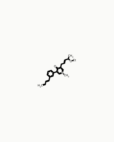 C=C/C=C/c1cccc(-c2cn(C)cc(C/C=C/C(C)OCC)c2=O)c1